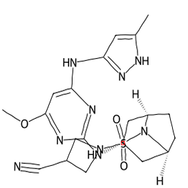 COc1cc(Nc2cc(C)[nH]n2)nc(N[C@@H]2C[C@H]3CC[C@@H](C2)N3S(=O)(=O)N2CC(C#N)C2)n1